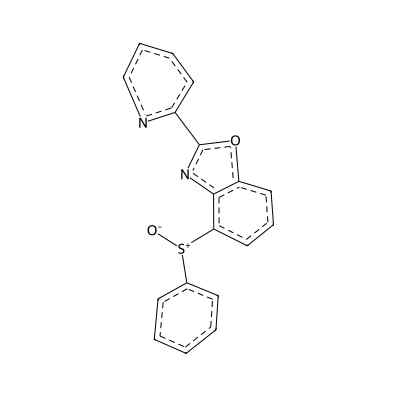 [O-][S+](c1ccccc1)c1cccc2oc(-c3ccccn3)nc12